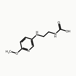 COc1ccc(NCCNC(=O)O)cn1